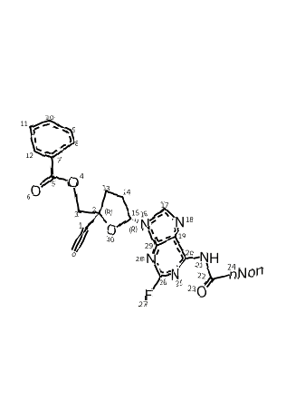 C#C[C@@]1(COC(=O)c2ccccc2)CC[C@H](n2cnc3c(NC(=O)CCCCCCCCC)nc(F)nc32)O1